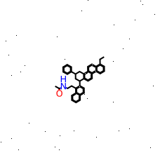 CCc1cccc2c1ccc1c3c(ccc12)C(c1ccc2ccccc2c1CCNC(C)=O)CC(c1ccccc1)C3